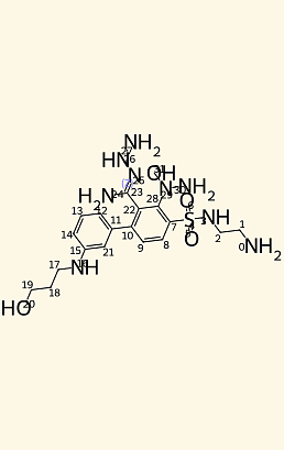 NCCNS(=O)(=O)c1ccc(-c2cccc(NCCCO)c2)c(/C(N)=N/NN)c1N(N)O